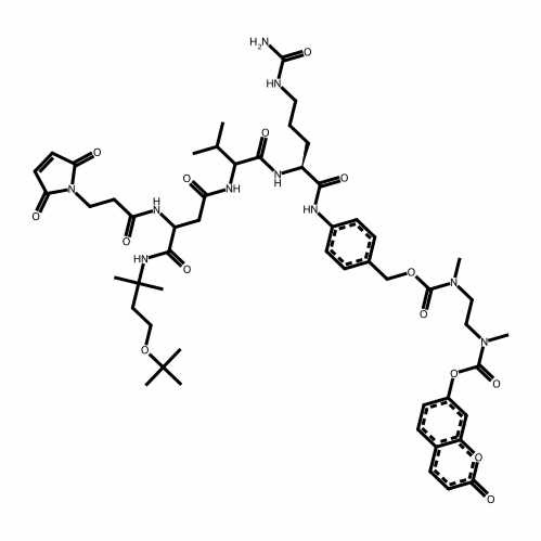 CC(C)C(NC(=O)CC(NC(=O)CCN1C(=O)C=CC1=O)C(=O)NC(C)(C)CCOC(C)(C)C)C(=O)N[C@@H](CCCNC(N)=O)C(=O)Nc1ccc(COC(=O)N(C)CCN(C)C(=O)Oc2ccc3ccc(=O)oc3c2)cc1